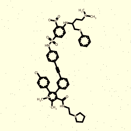 Cc1c(C(=O)NCCN2CCCC2)c(-c2cccc(C#Cc3ccc(NS(=O)(=O)c4ccc(NC(CCN(C)C)CSc5ccccc5)c([N+](=O)[O-])c4)cc3)c2)c(-c2ccc(Cl)cc2)n1C